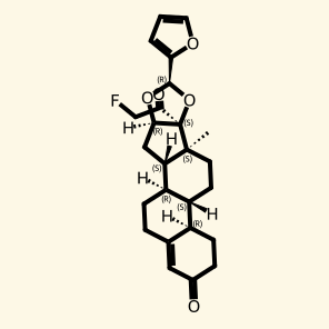 C[C@]12CC[C@H]3[C@@H](CCC4=CC(=O)CC[C@@H]43)[C@@H]1C[C@H]1O[C@@H](c3ccco3)O[C@]12C(=O)CF